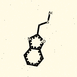 CC(=O)SCc1nc2ccccc2o1